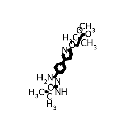 COC(=O)C(C)(C)COc1ccc(-c2ccc(/C(N)=N/C(=N)OC(C)C)cc2)cn1